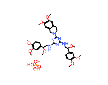 COc1ccc(C(CNc2nc(NCC(OC)c3ccc(OC)c(OC)c3)nc(N3CCc4cc(OC)c(OC)cc4C3)n2)OC)cc1OC.O=P(O)(O)O